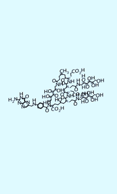 C[C@H](CCC(=O)NC[C@H](O)[C@@H](O)[C@H](O)[C@H](O)CO)CC(=O)[C@H](CCC(=O)O)NC(=O)[C@H](CCC(=O)NC[C@H](O)[C@@H](O)[C@H](O)[C@H](O)CO)CC(=O)[C@H](CCC(=O)O)NC(=O)[C@H](CCC(=O)NC[C@H](O)[C@@H](O)[C@H](O)[C@H](O)CO)CC(=O)CC[C@H](NC(=O)c1ccc(NCc2cnc3nc(N)[nH]c(=O)c3n2)cc1)C(=O)O